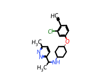 C#Cc1ccc(O[C@H]2CC[C@H](NC(C)c3ccc(C)nn3)CC2)cc1Cl